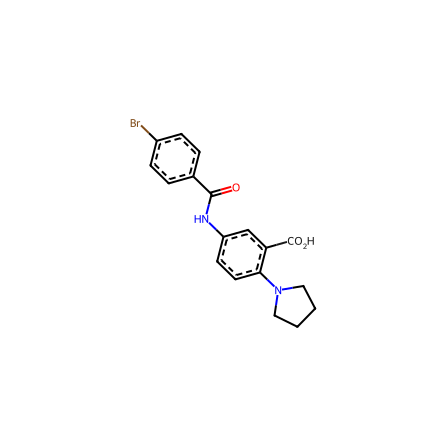 O=C(Nc1ccc(N2CCCC2)c(C(=O)O)c1)c1ccc(Br)cc1